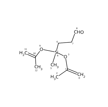 C=C(C)O[Si](C)(CCC=O)OC(=C)C